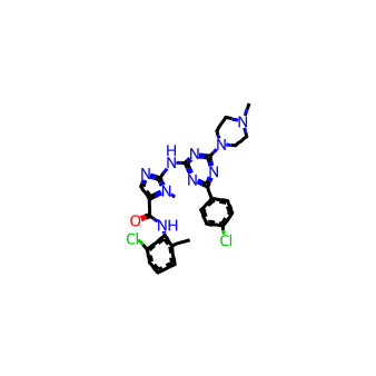 Cc1cccc(Cl)c1NC(=O)c1cnc(Nc2nc(-c3ccc(Cl)cc3)nc(N3CCN(C)CC3)n2)n1C